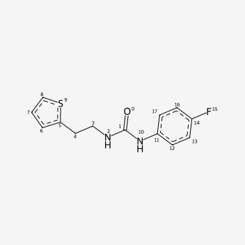 O=C(NCCc1cccs1)Nc1ccc(F)cc1